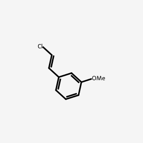 COc1cccc(C=CCl)c1